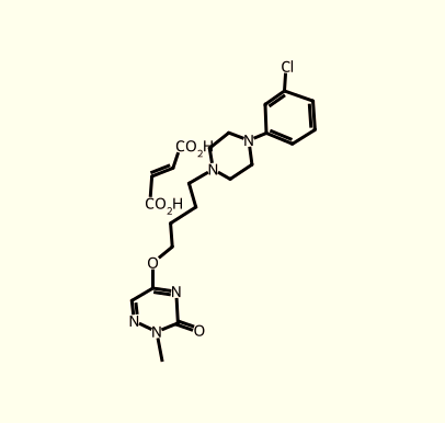 Cn1ncc(OCCCCN2CCN(c3cccc(Cl)c3)CC2)nc1=O.O=C(O)C=CC(=O)O